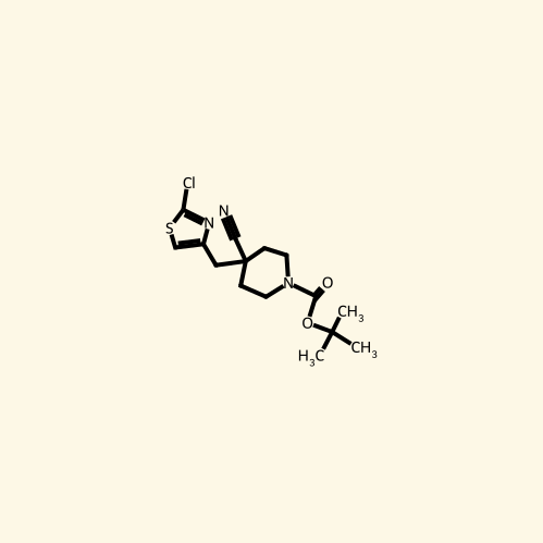 CC(C)(C)OC(=O)N1CCC(C#N)(Cc2csc(Cl)n2)CC1